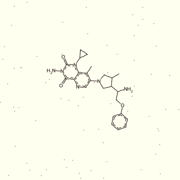 Cc1c(N2CC(C)C(C(N)COc3ccccc3)C2)cnc2c(=O)n(N)c(=O)n(C3CC3)c12